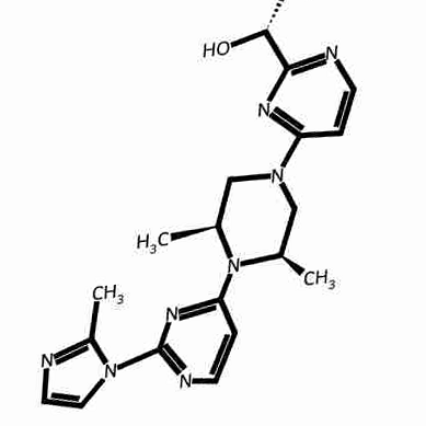 Cc1nccn1-c1nccc(N2[C@H](C)CN(c3ccnc([C@@H](C)O)n3)C[C@@H]2C)n1